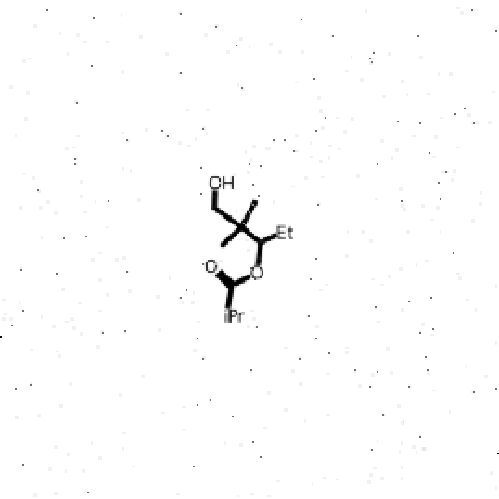 CCC(OC(=O)C(C)C)C(C)(C)CO